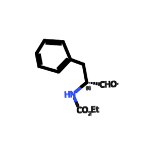 CCOC(=O)N[C@@H]([C]=O)Cc1ccccc1